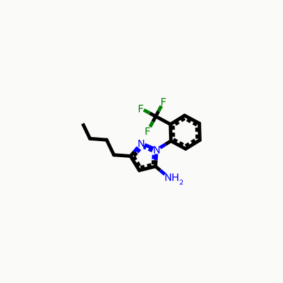 CCCCc1cc(N)n(-c2ccccc2C(F)(F)F)n1